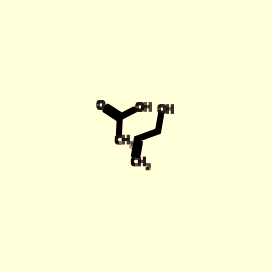 C=CCO.CC(=O)O